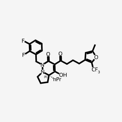 CCC[C@]12CCCN1N(Cc1cccc(F)c1F)C(=O)C(C(=O)CCCc1cc(C)oc1C(F)(F)F)=C2O